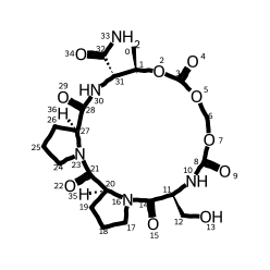 C[C@H]1OC(=O)OCOC(=O)N[C@@H](CO)C(=O)N2CCC[C@H]2C(=O)N2CCC[C@H]2C(=O)N[C@@H]1C(N)=O